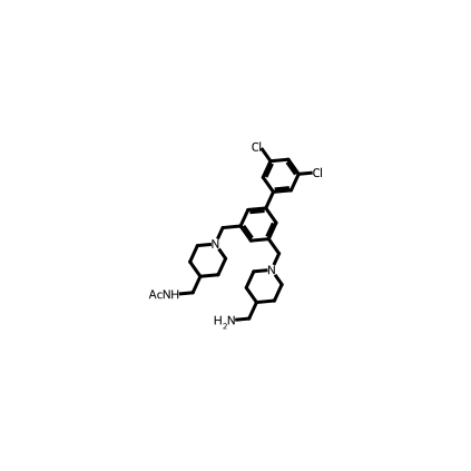 CC(=O)NCC1CCN(Cc2cc(CN3CCC(CN)CC3)cc(-c3cc(Cl)cc(Cl)c3)c2)CC1